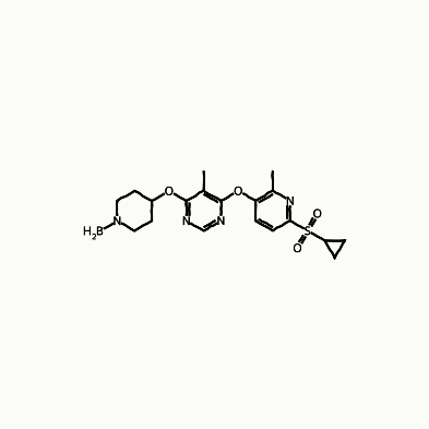 BN1CCC(Oc2ncnc(Oc3ccc(S(=O)(=O)C4CC4)nc3C)c2C)CC1